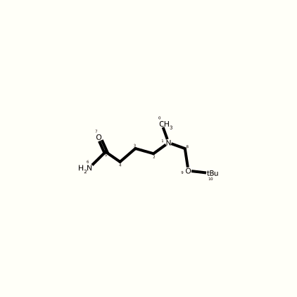 CN(CCCC(N)=O)COC(C)(C)C